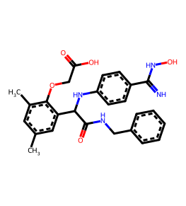 Cc1cc(C)c(OCC(=O)O)c(C(Nc2ccc(C(=N)NO)cc2)C(=O)NCc2ccccc2)c1